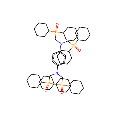 O=P(CN(CP(=O)(C1CCCCC1)C1CCCCC1)c1ccc(N(CP(=O)(C2CCCCC2)C2CCCCC2)CP(=O)(C2CCCCC2)C2CCCCC2)cc1)(C1CCCCC1)C1CCCCC1